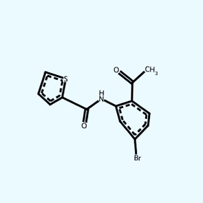 CC(=O)c1ccc(Br)cc1NC(=O)c1cccs1